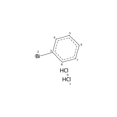 Cl.Cl.[Bi][c]1ccccc1